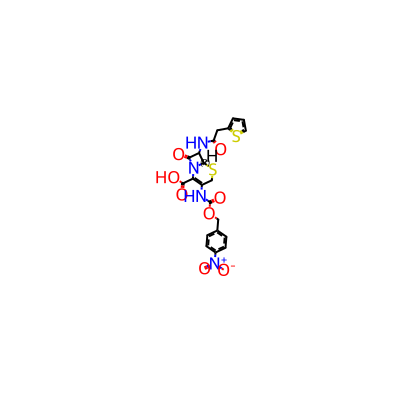 O=C(Cc1cccs1)NC1C(=O)N2C(C(=O)O)=C(NC(=O)OCc3ccc([N+](=O)[O-])cc3)CS[C@H]12